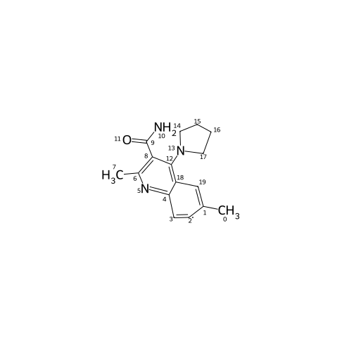 Cc1[c]cc2nc(C)c(C(N)=O)c(N3CCCC3)c2c1